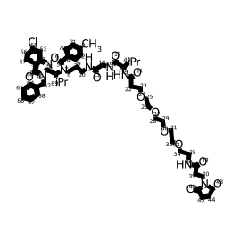 Cc1ccc(C(=O)N(CCCNC(=O)CNC(=O)C(NC(=O)CCOCCOCCOCCOCCNC(=O)CCN2C(=O)C=CC2=O)C(C)C)C(c2nc3cc(Cl)ccc3c(=O)n2Cc2ccccc2)C(C)C)cc1